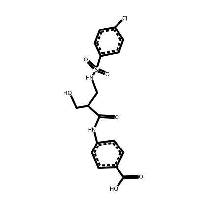 O=C(O)c1ccc(NC(=O)C(CO)CNS(=O)(=O)c2ccc(Cl)cc2)cc1